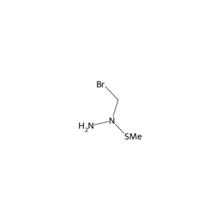 CSN(N)CBr